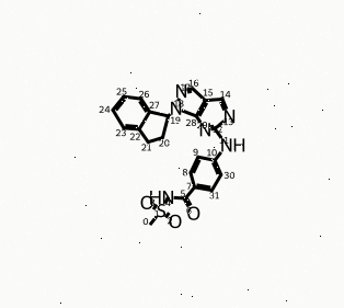 CS(=O)(=O)NC(=O)c1ccc(Nc2ncc3cnn([C@H]4CCc5ccccc54)c3n2)cc1